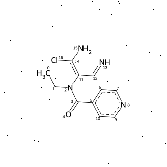 CCN(C(=O)c1ccncc1)/C(C=N)=C(/N)Cl